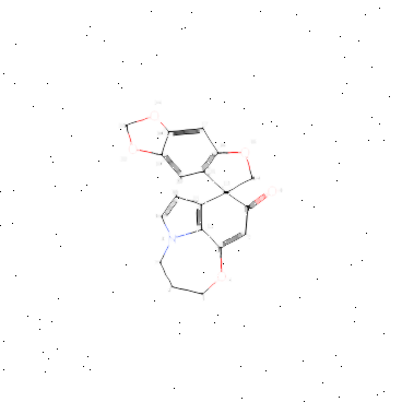 O=C1C=C2OCCCn3ccc(c32)C12COc1cc3c(cc12)OCO3